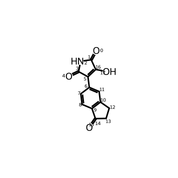 O=C1NC(=O)C(c2ccc3c(c2)CCC3=O)=C1O